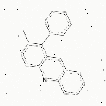 Cc1ccc2nc3ccccc3cc2c1-c1ccccc1